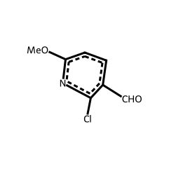 COc1ccc(C=O)c(Cl)n1